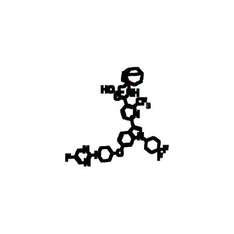 O=C(NC1(C(=O)O)C2CCC3CC(C2)CC1C3)c1ccc(-c2cn(C3CCC(F)(F)CC3)c3cc(OC4CCN(c5ncc(F)cn5)CC4)ccc23)nc1C(F)(F)F